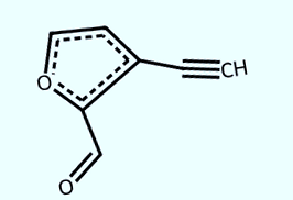 C#Cc1ccoc1C=O